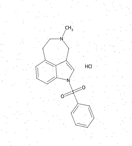 CN1CCc2cccc3c2c(cn3S(=O)(=O)c2ccccc2)C1.Cl